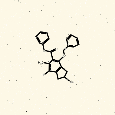 Cc1c(F)c2c(c(OCc3ccccc3)c1C(=O)Oc1ccccc1)CC(C(C)(C)C)C2